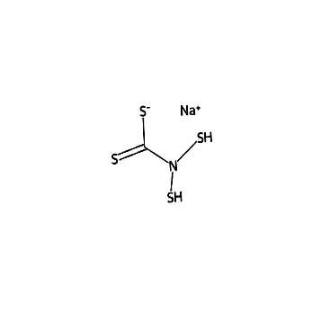 S=C([S-])N(S)S.[Na+]